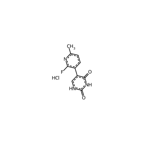 Cc1ccc(-c2c[nH]c(=O)[nH]c2=O)c(F)n1.Cl